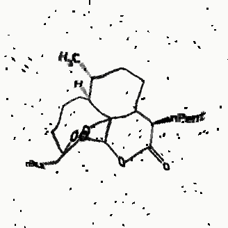 CCCCC[C@H]1C(=O)OC2OC3(CCCC)CC[C@H]4[C@H](C)CCC1C24OO3